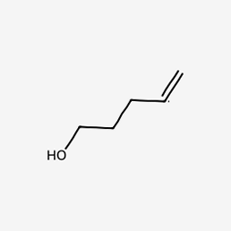 C=[C]CCCO